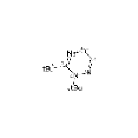 CC(C)(C)C1=NOC=NN1C(C)(C)C